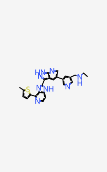 CCNCc1cncc(-c2cnc3[nH]nc(-c4nc5c(-c6ccc(C)s6)nccc5[nH]4)c3c2)c1